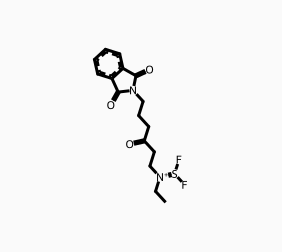 CC[N+](CCC(=O)CCCN1C(=O)c2ccccc2C1=O)=S(F)F